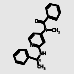 C[C@H](Nc1cc(N(C)C(=O)c2ccccc2)ccn1)c1ccccc1